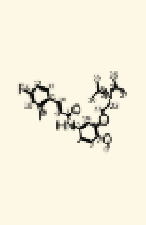 COc1ccc(NC(=O)/C=C/c2ccc(F)cc2F)cc1OCCN(C(C)C)C(C)C